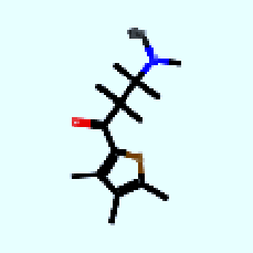 Cc1sc(C(=O)C(C)(C)C(C)(C)N(C)C(C)(C)C)c(C)c1C